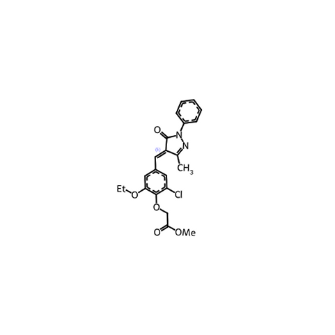 CCOc1cc(/C=C2/C(=O)N(c3ccccc3)N=C2C)cc(Cl)c1OCC(=O)OC